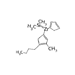 CCCCC1=C(C)C=[C]([Zr]([C]2=CC=CC2)=[Si](C)C)C1